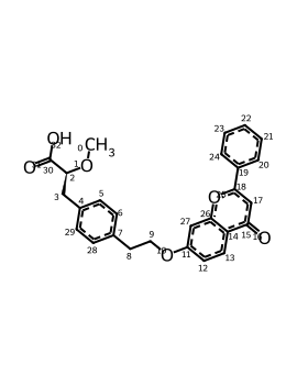 CO[C@@H](Cc1ccc(CCOc2ccc3c(=O)cc(-c4ccccc4)oc3c2)cc1)C(=O)O